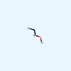 CC[CH2][Sn][O]CC